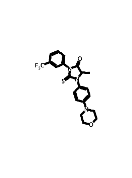 CC1C(=O)N(c2cccc(C(F)(F)F)c2)C(=S)N1c1ccc(N2CCOCC2)cc1